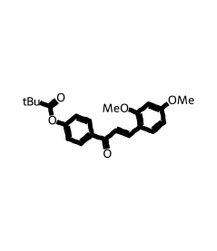 COc1ccc(C=CC(=O)c2ccc(OC(=O)C(C)(C)C)cc2)c(OC)c1